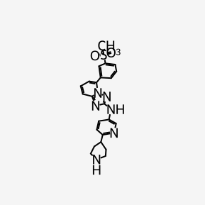 CS(=O)(=O)c1cccc(-c2cccc3nc(Nc4ccc(C5CCNCC5)nc4)nn23)c1